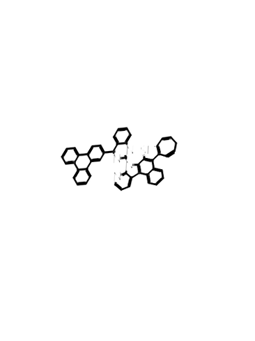 Sc1c(C2=CC=CCC#C2)c2ccccc2c2c3cccnc3n(-c3nc(-c4ccc5c6ccccc6c6ccccc6c5c4)c4ccccc4n3)c12